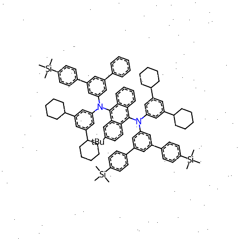 CC(C)(C)c1ccc2c(N(c3cc(-c4ccc([Si](C)(C)C)cc4)cc(-c4ccc([Si](C)(C)C)cc4)c3)c3cc(C4CCCCC4)cc(C4CCCCC4)c3)c3ccccc3c(N(c3cc(-c4ccccc4)cc(-c4ccc([Si](C)(C)C)cc4)c3)c3cc(C4CCCCC4)cc(C4CCCCC4)c3)c2c1